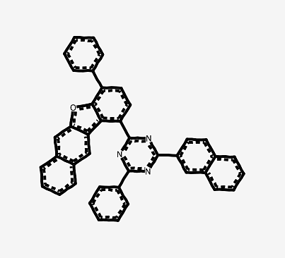 c1ccc(-c2nc(-c3ccc4ccccc4c3)nc(-c3ccc(-c4ccccc4)c4oc5cc6ccccc6cc5c34)n2)cc1